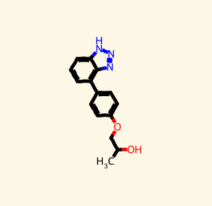 CC(O)COc1ccc(-c2cccc3[nH]nnc23)cc1